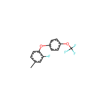 Cc1ccc(Oc2ccc(OC(F)(F)F)cc2)c(F)c1